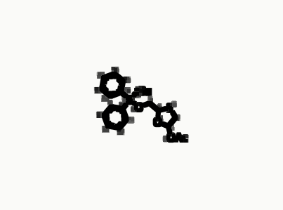 CC(=O)OC1CSC(CO[Si](c2ccccc2)(c2ccccc2)C(C)(C)C)O1